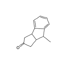 CC1c2ccccc2C2CC(=O)CC12